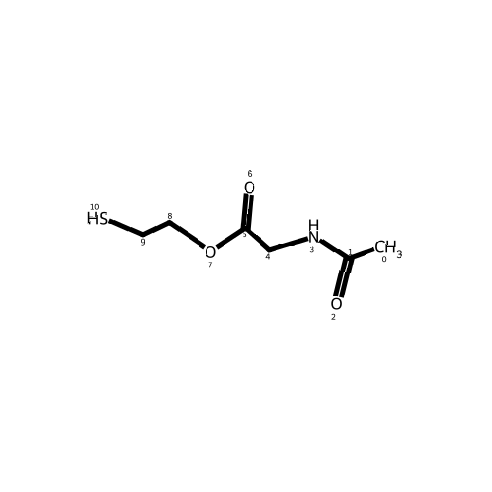 CC(=O)NCC(=O)OCCS